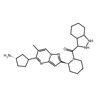 Cc1cn2nc([C@@H]3CCCCN3C(=O)C3NNC4CCCCC43)cc2nc1C1CC[C@H](N)C1